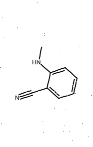 CNc1cc[c]cc1C#N